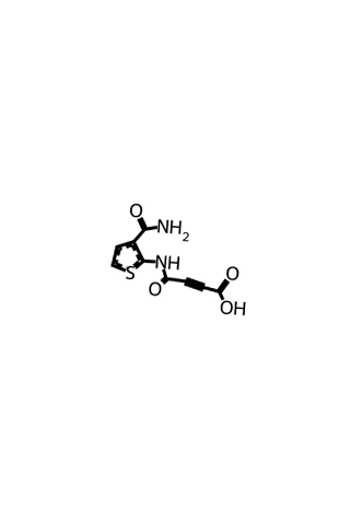 NC(=O)c1ccsc1NC(=O)C#CC(=O)O